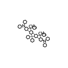 CC1(c2ccccc2)c2cc(N(c3ccccc3)c3ccccc3)ccc2-c2cc3c(cc21)-c1cc2c(cc1C3(c1ccccc1)c1ccccc1)-c1ccc(N(c3ccccc3)c3ccccc3)cc1C2(C)c1ccccc1